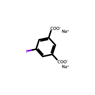 O=C([O-])c1cc(I)cc(C(=O)[O-])c1.[Na+].[Na+]